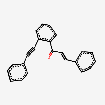 O=C(/C=C/c1ccccc1)c1ccccc1C#Cc1ccccc1